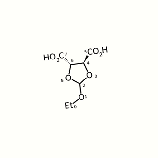 CCOC1O[C@H](C(=O)O)[C@@H](C(=O)O)O1